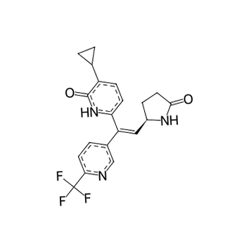 O=C1CC[C@H](C=C(c2ccc(C(F)(F)F)nc2)c2ccc(C3CC3)c(=O)[nH]2)N1